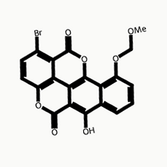 COCOc1cccc2c(O)c3c(=O)oc4ccc(Br)c5c(=O)oc(c12)c3c45